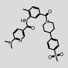 Cc1ccc(C(=O)N2CCC(c3ccc(S(C)(=O)=O)cc3)CC2)cc1NC(=O)c1ccc(N(C)C)nc1